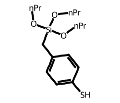 CCCO[Si](Cc1ccc(S)cc1)(OCCC)OCCC